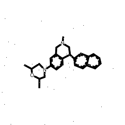 CC1CN(c2ccc3c(c2)CN(C)CC3c2ccc3ccccc3c2)CC(C)O1